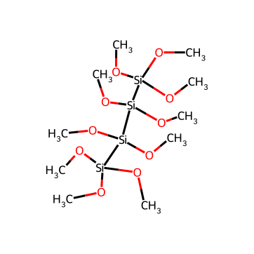 CO[Si](OC)(OC)[Si](OC)(OC)[Si](OC)(OC)[Si](OC)(OC)OC